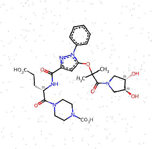 CC(C)(Oc1cc(C(=O)N[C@@H](CCC(=O)O)C(=O)N2CCN(C(=O)O)CC2)nn1-c1ccccc1)C(=O)N1C[C@H](O)[C@@H](O)C1